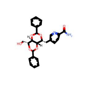 NC(=O)c1ccc(C[C@H]2OC(c3ccccc3)O[C@H]3[C@H]2OC(c2ccccc2)O[C@@H]3CO)cn1